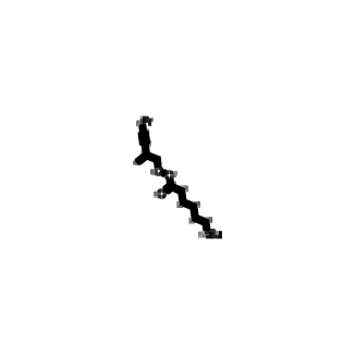 CC(C)C#CC(C)COOC(=O)CCCCCC(C)(C)C